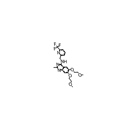 COCCOc1cc2nc(C)nc(NCc3cccc(C(F)(F)F)n3)c2cc1OCCOC